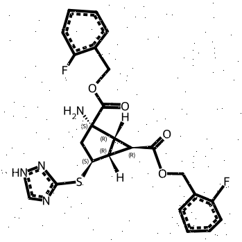 N[C@@]1(C(=O)OCc2ccccc2F)C[C@H](Sc2nc[nH]n2)[C@H]2[C@H](C(=O)OCc3ccccc3F)[C@H]21